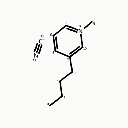 CCCCc1ccc[n+](C)c1.[C-]#N